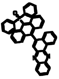 O=P(c1ccccc1)(c1ccccc1)c1c2ccccc2c(-c2cc3nc4ccccc4nc3c3ccccc23)c2ccccc12